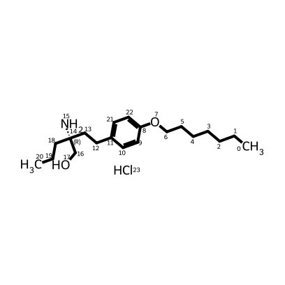 CCCCCCCOc1ccc(CC[C@@](N)(CO)CCC)cc1.Cl